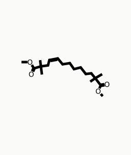 COC(=O)C(C)(C)C/C=C\CCCCCCC(C)(C)C(=O)OC